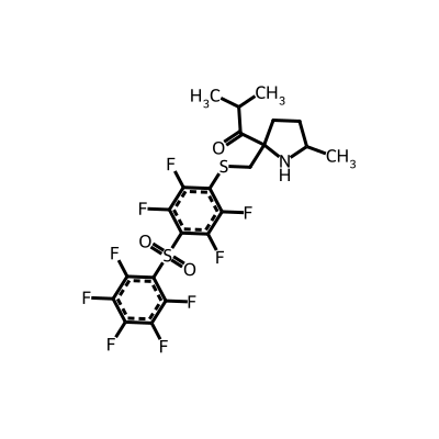 CC1CCC(CSc2c(F)c(F)c(S(=O)(=O)c3c(F)c(F)c(F)c(F)c3F)c(F)c2F)(C(=O)C(C)C)N1